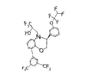 O[C@H](CN1c2cccc(-c3cc(C(F)(F)F)cc(C(F)(F)F)c3)c2OC[C@@H]1c1cccc(OC(F)(F)C(F)F)c1)C(F)(F)F